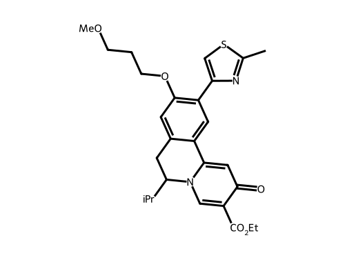 CCOC(=O)c1cn2c(cc1=O)-c1cc(-c3csc(C)n3)c(OCCCOC)cc1CC2C(C)C